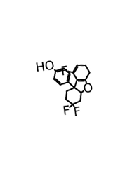 Oc1ccc(C23CCC(F)(F)CC2OC2=C3C(F)=CCC2)cc1